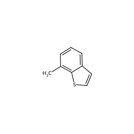 [CH2]c1cccc2ccsc12